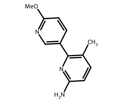 COc1ccc(-c2nc(N)ccc2C)cn1